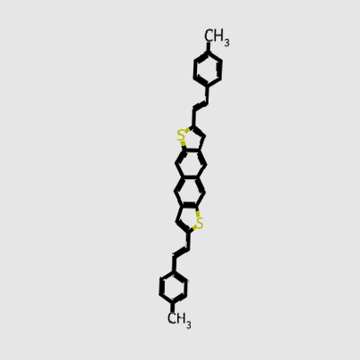 Cc1ccc(C=Cc2cc3cc4cc5sc(C=Cc6ccc(C)cc6)cc5cc4cc3s2)cc1